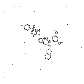 COc1cc([C@@H](O)[C@@H](CC2Cc3ccccc3C2)Cn2ccc(CC(=O)NS(=O)(=O)c3ccc(C)cc3)c2)cc(OC)c1C